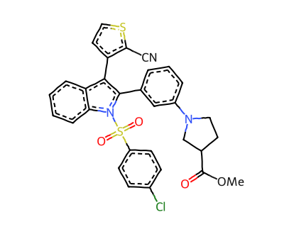 COC(=O)C1CCN(c2cccc(-c3c(-c4ccsc4C#N)c4ccccc4n3S(=O)(=O)c3ccc(Cl)cc3)c2)C1